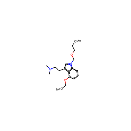 COCCOCn1cc(CCN(C)C)c2c(OCOC)cccc21